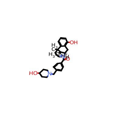 CC12CCN(C(=O)c3ccc(CN4CCC(O)CC4)cc3)[C@H](Cc3c(O)cccc31)C2(C)C